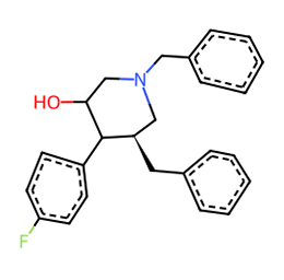 OC1CN(Cc2ccccc2)C[C@@H](Cc2ccccc2)C1c1ccc(F)cc1